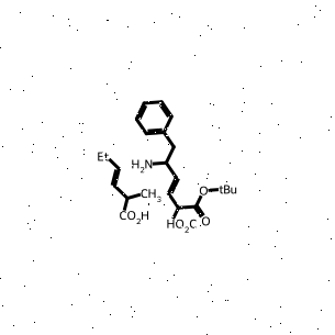 CC(C)(C)OC(=O)C(C=CC(N)Cc1ccccc1)C(=O)O.CCC=CC(C)C(=O)O